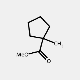 [CH2]OC(=O)C1(C)CCCC1